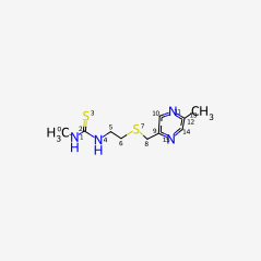 CNC(=S)NCCSCc1cnc(C)cn1